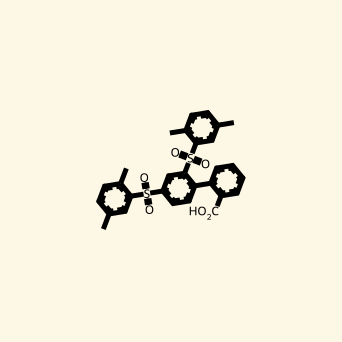 Cc1ccc(C)c(S(=O)(=O)c2ccc(-c3ccccc3C(=O)O)c(S(=O)(=O)c3cc(C)ccc3C)c2)c1